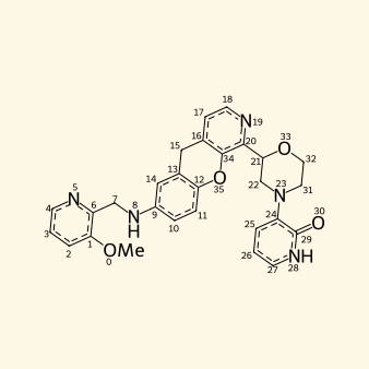 COc1cccnc1CNc1ccc2c(c1)Cc1ccnc(C3CN(c4ccc[nH]c4=O)CCO3)c1O2